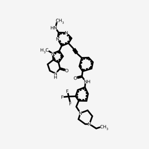 CCN1CCN(Cc2ccc(NC(=O)c3cccc(C#Cc4cnc(NC)nc4-c4cc5c(n4C)CCNC5=O)c3)cc2C(F)(F)F)CC1